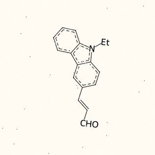 CCn1c2ccccc2c2cc(/C=C/C=O)ccc21